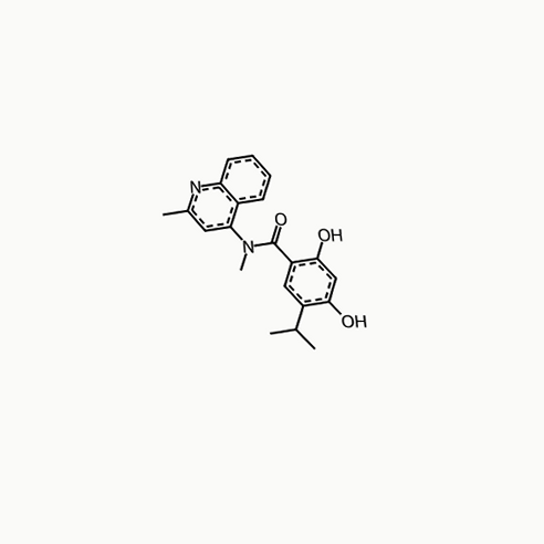 Cc1cc(N(C)C(=O)c2cc(C(C)C)c(O)cc2O)c2ccccc2n1